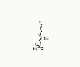 O=S(=O)(O)CC=COCC=CF.[Na]